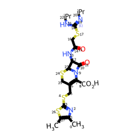 Cc1nc(SCC2=C(C(=O)O)N3C(=O)C(NC(=O)CS/C(=N/C(C)C)NC(C)C)C3SC2)sc1C